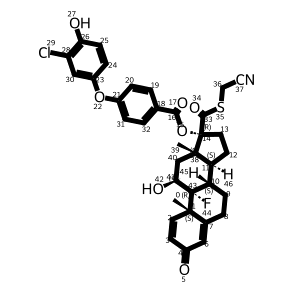 C[C@]12C=CC(=O)C=C1CC[C@H]1[C@@H]3CC[C@](OC(=O)c4ccc(Oc5ccc(O)c(Cl)c5)cc4)(C(=O)SCC#N)[C@@]3(C)C[C@H](O)[C@@]12F